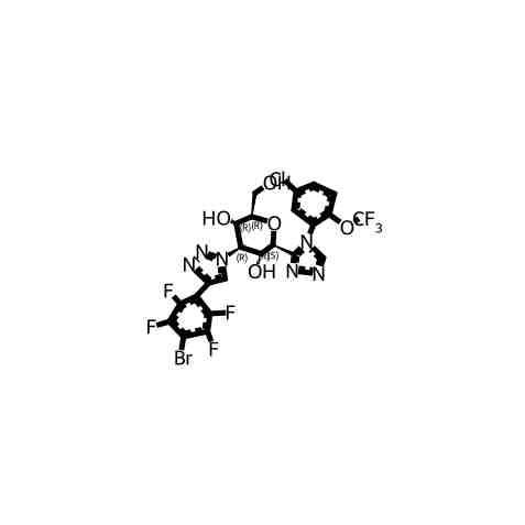 OC[C@H]1O[C@@H](c2nncn2-c2cc(Cl)ccc2OC(F)(F)F)[C@H](O)[C@@H](n2cc(-c3c(F)c(F)c(Br)c(F)c3F)nn2)[C@H]1O